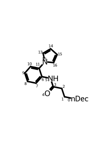 CCCCCCCCCCCCC(=O)Nc1ccccc1-n1cccc1